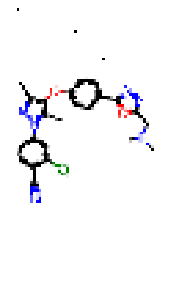 Cc1nn(-c2ccc(C#N)c(Cl)c2)c(C)c1Oc1ccc(-c2nnc(CN(C)C)o2)cc1